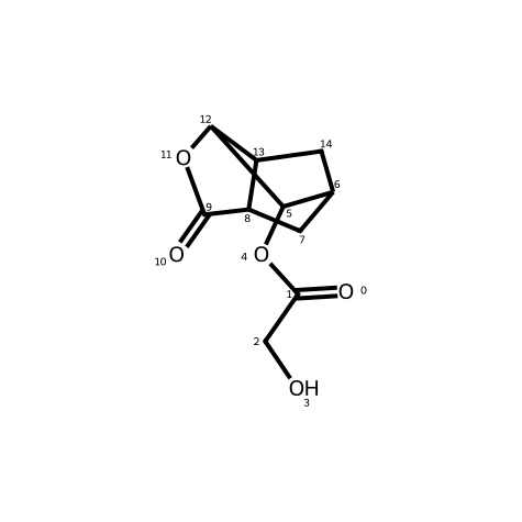 O=C(CO)OC1C2CC3C(=O)OC1C3C2